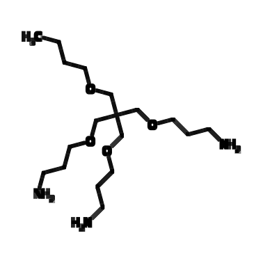 CCCCOCC(COCCCN)(COCCCN)COCCCN